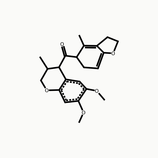 COc1cc2c(cc1OC)C(C(=O)C1CC=C3OCCC3=C1C)C(C)CO2